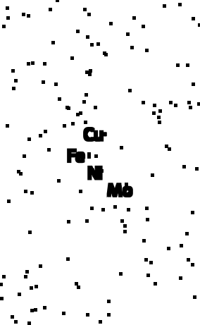 [Cu].[Fe].[Mo].[Ni]